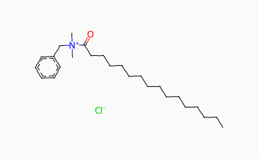 CCCCCCCCCCCCCCCC(=O)[N+](C)(C)Cc1ccccc1.[Cl-]